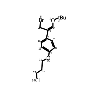 CC(C)(C)O/C=C(\CBr)c1ccc(OCCCCl)cc1